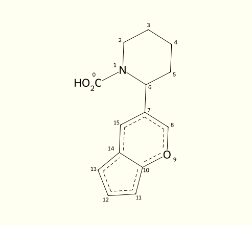 O=C(O)N1CCCCC1c1coc2cccc-2c1